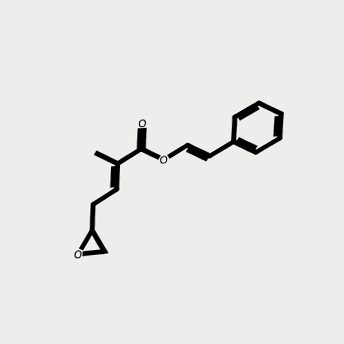 CC(=CCC1CO1)C(=O)OC=Cc1ccccc1